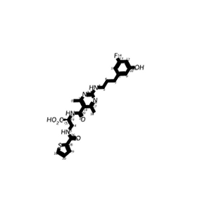 Cc1nc(NCCCc2cc(O)cc(F)c2)nc(C)c1C(=O)N[C@@H](CNC(=O)c1cccs1)C(=O)O